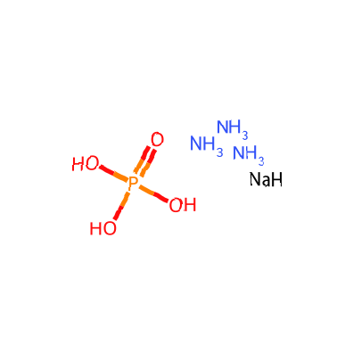 N.N.N.O=P(O)(O)O.[NaH]